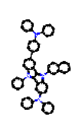 c1ccc(N(c2ccccc2)c2ccc(-c3ccc4c(c3)c3c(c5cc(N(c6ccccc6)c6ccccc6)ccc5n3-c3ccc5ccccc5c3)n4-c3ccccc3)cc2)cc1